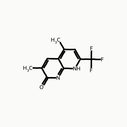 Cc1cc(C(F)(F)F)[nH]c2nc(=O)c(C)cc1-2